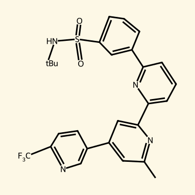 Cc1cc(-c2ccc(C(F)(F)F)nc2)cc(-c2cccc(-c3cccc(S(=O)(=O)NC(C)(C)C)c3)n2)n1